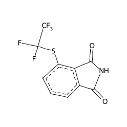 O=C1NC(=O)c2c(SC(F)(F)C(F)(F)F)cccc21